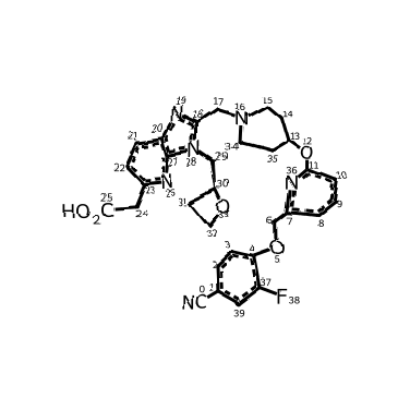 N#Cc1ccc(OCc2cccc(OC3CCN(Cc4nc5ccc(CC(=O)O)nc5n4C[C@@H]4CCO4)CC3)n2)c(F)c1